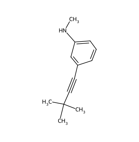 CNc1cccc(C#CC(C)(C)C)c1